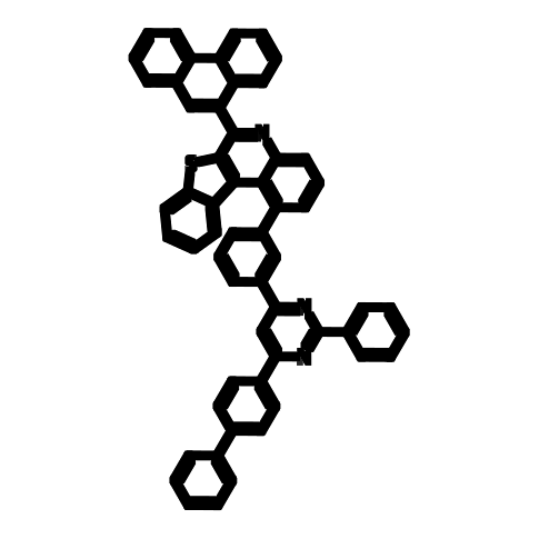 c1ccc(-c2ccc(-c3cc(-c4cccc(-c5cccc6nc(-c7cc8ccccc8c8ccccc78)c7sc8ccccc8c7c56)c4)nc(-c4ccccc4)n3)cc2)cc1